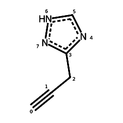 C#CCc1nc[nH]n1